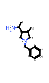 CC(N)C1CN(Cc2ccccc2)CC1C